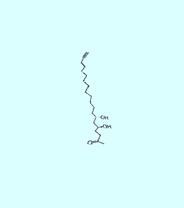 C#CCCCCCCCCCCC[C@H](O)C[C@@H](O)CCC(C)=O